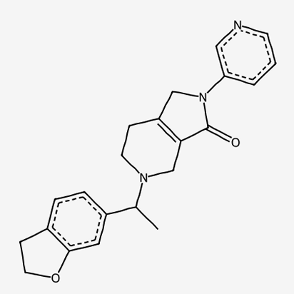 CC(c1ccc2c(c1)OCC2)N1CCC2=C(C1)C(=O)N(c1cccnc1)C2